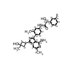 Cc1cn2c(C3CC(C)(O)C3)nc(-c3ccc(NC(=O)[C@H](O)c4cccc(F)c4)cc3C)c2c(N)n1